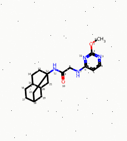 COc1nccc(NCC(=O)NC23CCC4CCC(CC4C2)C3)n1